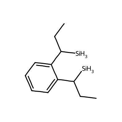 CCC([SiH3])c1ccccc1C([SiH3])CC